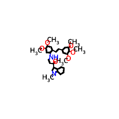 COc1cc(/C=C/c2cc(OC)c(OC)c(OC)c2)c(N/C=C\C(=O)c2cn(C)c3ccccc23)cc1OC